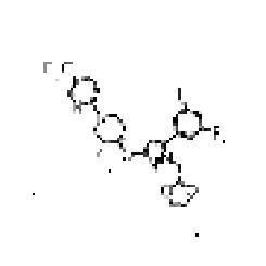 C[C@@H]1CN(c2ccc(C(F)(F)F)cn2)CC[C@H]1Oc1cc(-c2cc(F)cc(F)c2)n(CC2OCCO2)n1